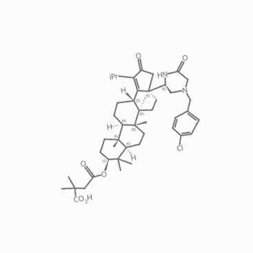 CC(C)C1=C2[C@H]3CC[C@@H]4[C@@]5(C)CC[C@H](OC(=O)CC(C)(C)C(=O)O)C(C)(C)[C@@H]5CC[C@@]4(C)[C@]3(C)CC[C@@]2([C@@H]2CN(Cc3ccc(Cl)cc3)CC(=O)N2)CC1=O